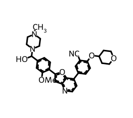 COc1cc(C(O)N2CCN(C)CC2)ccc1-c1cc2nccc(-c3ccc(OC4CCOCC4)c(C#N)c3)c2o1